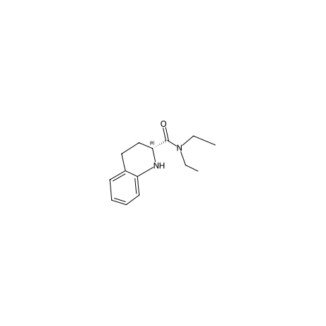 CCN(CC)C(=O)[C@H]1CCc2ccccc2N1